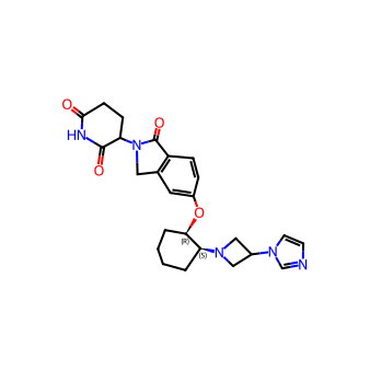 O=C1CCC(N2Cc3cc(O[C@@H]4CCCC[C@@H]4N4CC(n5ccnc5)C4)ccc3C2=O)C(=O)N1